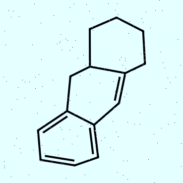 C1=C2CCCCC2Cc2ccccc21